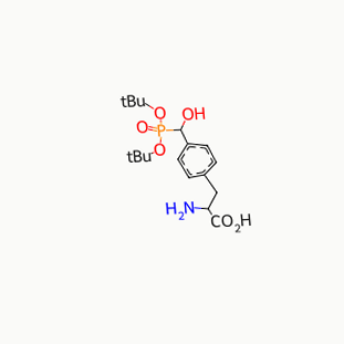 CC(C)(C)OP(=O)(OC(C)(C)C)C(O)c1ccc(CC(N)C(=O)O)cc1